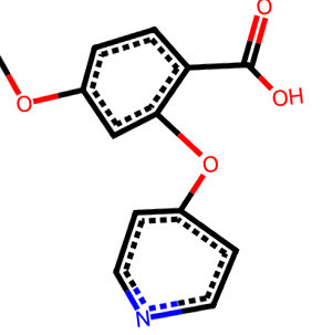 COc1ccc(C(=O)O)c(Oc2ccncc2)c1